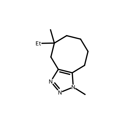 CCC1(C)CCCCc2c(nnn2C)C1